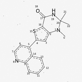 CN1c2cc(-c3ccnc4ccccc34)sc2C(=O)NC1(C)C